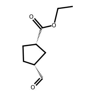 CCOC(=O)[C@H]1CC[C@@H](C=O)C1